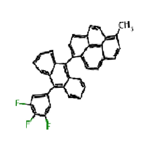 Cc1ccc2ccc3c(-c4c5ccccc5c(-c5cc(F)c(F)c(F)c5)c5ccccc45)ccc4ccc1c2c43